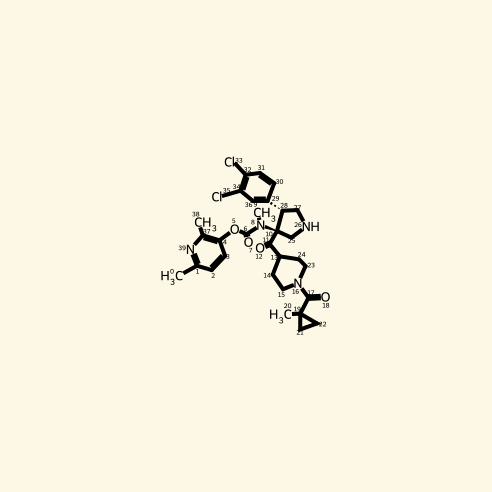 Cc1ccc(OC(=O)N(C)[C@]2(C(=O)C3CCN(C(=O)C4(C)CC4)CC3)CNC[C@H]2c2ccc(Cl)c(Cl)c2)c(C)n1